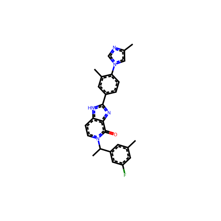 Cc1cc(F)cc(C(C)n2ccc3[nH]c(-c4ccc(-n5cnc(C)c5)c(C)c4)nc3c2=O)c1